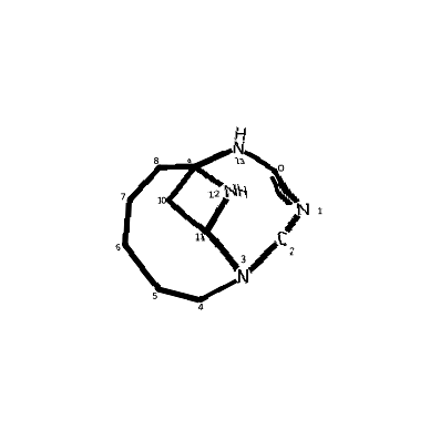 C1=N\CN2CCCCCC3(CC2N3)N/1